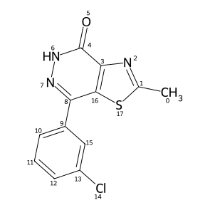 Cc1nc2c(=O)[nH]nc(-c3cccc(Cl)c3)c2s1